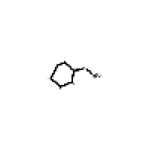 C[CH]CCSC1CCCCC1